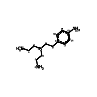 NCCN(CCN)CCc1ccc(N)cc1